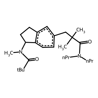 CCCN(CCC)C(=O)C(C)(C)Cc1ccc2c(c1)CCC2N(C)C(=O)C(C)(C)C